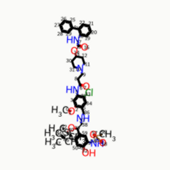 COc1cc(NC(=O)CCN2CCC(OC(=O)Nc3ccccc3-c3ccccc3)CC2)c(Cl)cc1CNC[C@H](O[Si](C)(C)C(C)(C)C)c1ccc(O)c(NS(C)(=O)=O)c1